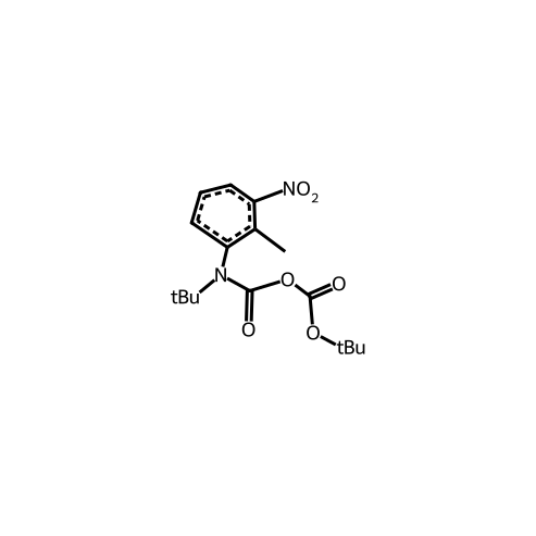 Cc1c(N(C(=O)OC(=O)OC(C)(C)C)C(C)(C)C)cccc1[N+](=O)[O-]